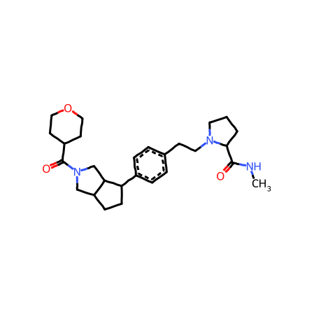 CNC(=O)C1CCCN1CCc1ccc(C2CCC3CN(C(=O)C4CCOCC4)CC32)cc1